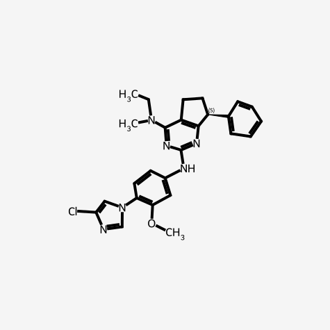 CCN(C)c1nc(Nc2ccc(-n3cnc(Cl)c3)c(OC)c2)nc2c1CC[C@H]2c1ccccc1